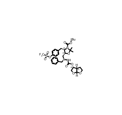 CC(C)(C)OC(=O)N1[C@H](Cc2ccc(OS(=O)(=O)C(F)(F)F)cc2)[C@H](CN(Cc2ccccc2)NC(=O)O[C@H]2CO[C@H]3OCC[C@H]32)OC1(C)C